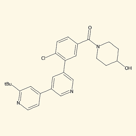 CC(C)(C)c1cc(-c2cncc(-c3cc(C(=O)N4CCC(O)CC4)ccc3Cl)c2)ccn1